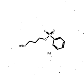 CCCCCCCCCCCCOS(=O)(=O)c1ccccc1.[Pd]